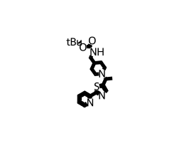 CC(c1cnc(-c2ccccn2)s1)N1CCC(CNC(=O)OC(C)(C)C)CC1